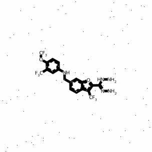 N/N=C(\NN)c1oc2cc(CNc3ccc(OC(F)(F)F)c(C(F)(F)F)c3)ccc2c1C(F)(F)F